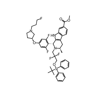 COC(=O)c1ccc2c3c([nH]c2c1)[C@@H](c1c(F)cc(O[C@H]2CCN(CCCF)C2)cc1F)N(CC(F)(F)CO[Si](c1ccccc1)(c1ccccc1)C(C)(C)C)[C@H](C)C3